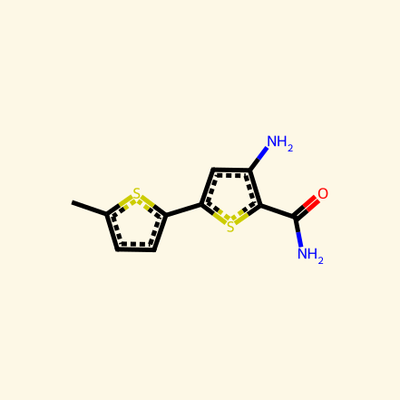 Cc1ccc(-c2cc(N)c(C(N)=O)s2)s1